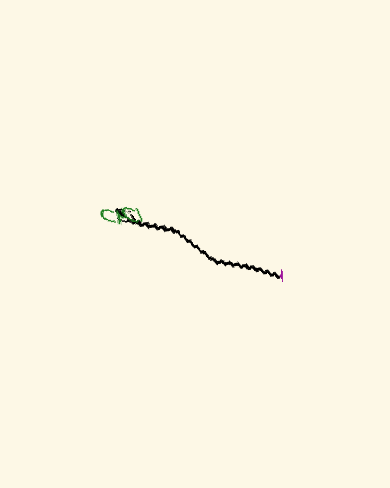 C[Si](Cl)(Cl)CCCCCCCCCCCCCCCCCCCCCCCCCCCCCCCCCCCCCCCI